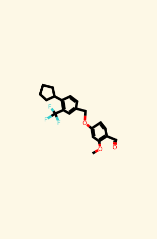 COc1cc(OCc2ccc(C3CCCC3)c(C(F)(F)F)c2)ccc1C=O